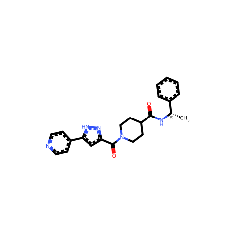 C[C@H](NC(=O)C1CCN(C(=O)c2cc(-c3ccncc3)[nH]n2)CC1)c1ccccc1